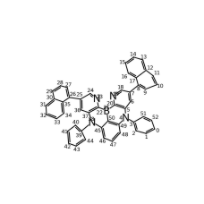 c1ccc(N2c3cc(-c4cccc5ccccc45)cnc3B3c4ncc(-c5cccc6ccccc56)cc4N(c4ccccc4)c4cccc2c43)cc1